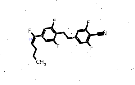 CCC/C=C(/F)c1cc(F)c(CCc2cc(F)c(C#N)c(F)c2)c(F)c1